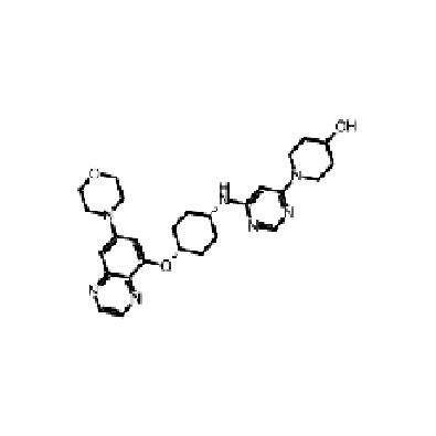 OC1CCN(c2cc(N[C@H]3CC[C@@H](Oc4cc(N5CCOCC5)cc5nccnc45)CC3)ncn2)CC1